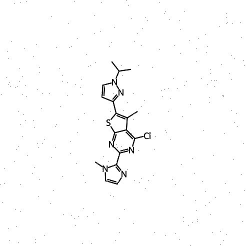 Cc1c(-c2ccn(C(C)C)n2)sc2nc(-c3nccn3C)nc(Cl)c12